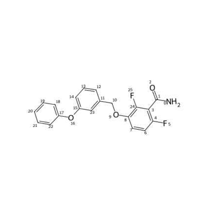 NC(=O)c1c(F)ccc(OCc2cccc(Oc3ccccc3)c2)c1F